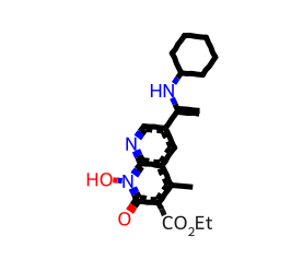 C=C(NC1CCCCC1)c1cnc2c(c1)c(C)c(C(=O)OCC)c(=O)n2O